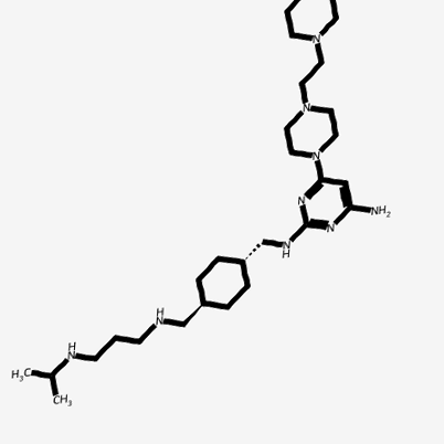 CC(C)NCCCNC[C@H]1CC[C@H](CNc2nc(N)cc(N3CCN(CCN4CCOCC4)CC3)n2)CC1